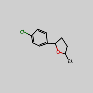 CCC1CCC(c2ccc(Cl)cc2)O1